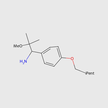 CCCC(C)COc1ccc(C(N)C(C)(C)OC)cc1